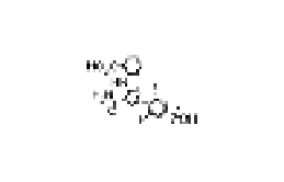 CC(C)(O)c1cc(F)c(-c2cc(C(N)=O)c(Nc3ccccc3C(=O)O)s2)c(F)c1